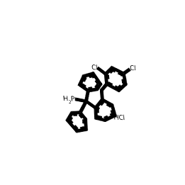 Cl.PC(c1ccccc1)(c1ccccc1)c1ccccc1Cc1ccc(Cl)cc1Cl